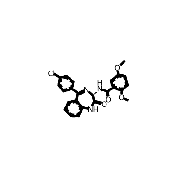 COc1ccc(OC)c(C(=O)N[C@H]2N=C(c3ccc(Cl)cc3)c3ccccc3NC2=O)c1